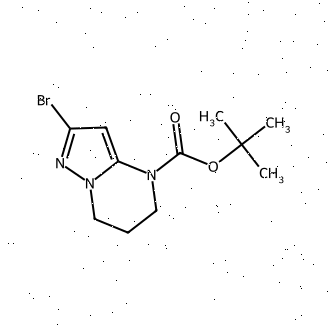 CC(C)(C)OC(=O)N1CCCn2nc(Br)cc21